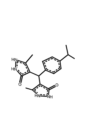 Cc1[nH][nH]c(=O)c1C(c1ccc(C(C)C)cc1)c1c(C)[nH][nH]c1=O